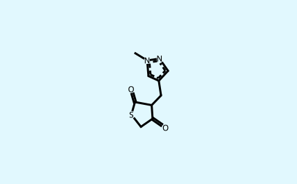 Cn1cc(CC2C(=O)CSC2=O)cn1